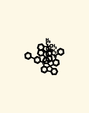 CC1(C)c2ccccc2-c2ccc(N(c3ccccc3)c3cccc4c3-c3ccccc3C43c4ccccc4-c4cccc(N(c5ccc(-c6ccccc6)cc5)c5cccc6c5-c5ccccc5C6(C)C)c43)cc21